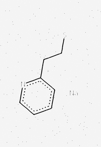 [Na+].[S-]CCc1ccccn1